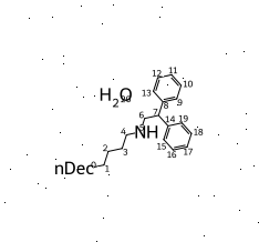 CCCCCCCCCCCCCCNCC(c1ccccc1)c1ccccc1.O